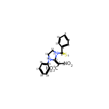 O=C(O)C(=C1N(C(=S)c2ccccc2)CCN1c1ccccc1)[N+](=O)[O-]